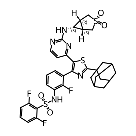 O=S1(=O)C[C@@H]2[C@H](C1)[C@@H]2Nc1nccc(-c2sc(C34CC5CC(CC(C5)C3)C4)nc2-c2cccc(NS(=O)(=O)c3c(F)cccc3F)c2F)n1